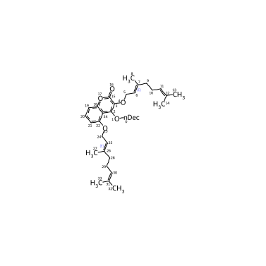 CCCCCCCCCCOc1c(OC/C=C(\C)CCC=C(C)C)c(=O)oc2cccc(OC/C=C(\C)CCC=C(C)C)c12